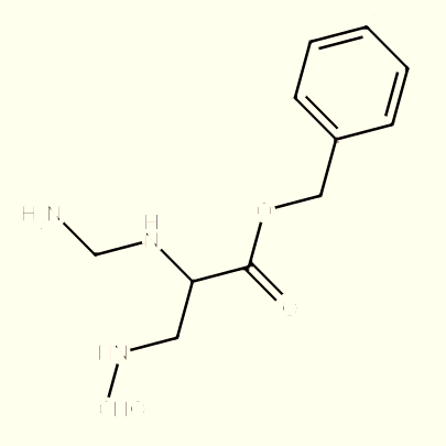 NCNC(CNC=O)C(=O)OCc1ccccc1